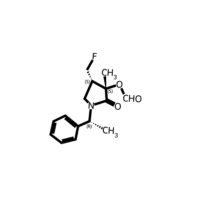 C[C@H](c1ccccc1)N1C[C@H](CF)[C@](C)(OC=O)C1=O